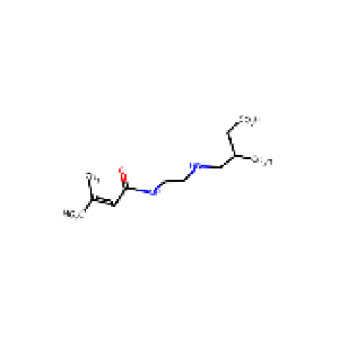 C/C(=C\C(=O)NCCNCC(CC(=O)O)C(=O)O)C(=O)O